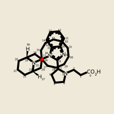 O=C(O)CCN1CCCC1c1nc2ccccc2n1C1C[C@H]2CCC[C@@H](C1)N2C1CCCCCCCCC1